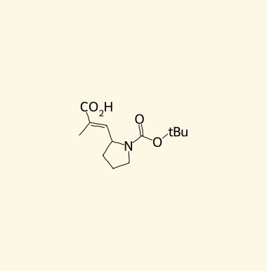 CC(=CC1CCCN1C(=O)OC(C)(C)C)C(=O)O